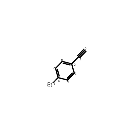 C#Cc1ccc(C[CH2])cc1